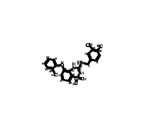 O=S1(=O)N=C(NCc2ccc(Cl)c(Cl)c2)Nc2c(Oc3ccccc3Cl)cccc21